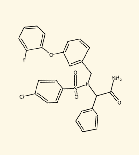 NC(=O)C(c1ccccc1)N(Cc1cccc(Oc2ccccc2F)c1)S(=O)(=O)c1ccc(Cl)cc1